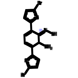 NC1C(c2ccc(Br)s2)=CC=C(c2ccc(Br)s2)/C1=N/S